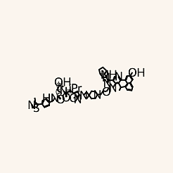 Cc1ncsc1-c1ccc(CNC(=O)[C@@H]2C[C@@H](O)CN2C(=O)[C@@H](c2cc(N3CC4(CCN(CCOc5nc(N6CC7CCC(C6)N7)c6cnc7c(c6n5)C(C)c5cccc6cc(O)cc-7c56)CC4)C3)no2)C(C)C)cc1